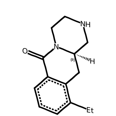 CCc1cccc2c1C[C@@H]1CNCCN1C2=O